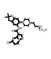 CC1(C)Cc2cc(NC(=O)c3cnn4ccc(Cl)nc34)c(N3CCN(CCNC(=O)O)CC3)cc2O1